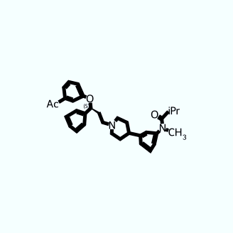 CC(=O)c1cccc(O[C@@H](CCN2CCC(c3cccc(N(C)C(=O)C(C)C)c3)CC2)c2ccccc2)c1